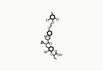 CCC(Oc1cccc(CN(C(=O)C(CN)Cc2ccc(OCCOc3c(Cl)cc(C)cc3Cl)cc2)C2CC2)c1Br)C(=O)O